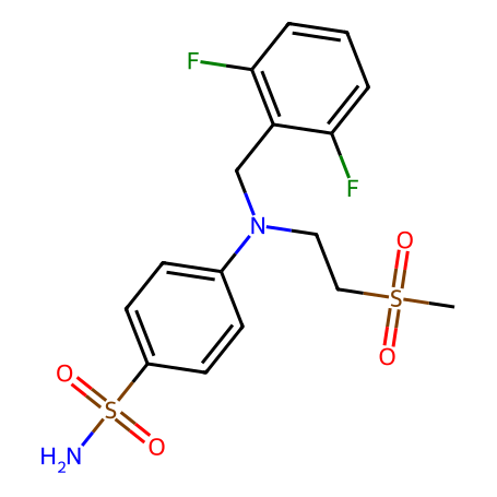 CS(=O)(=O)CCN(Cc1c(F)cccc1F)c1ccc(S(N)(=O)=O)cc1